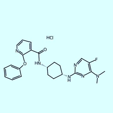 CN(C)c1nc(N[C@H]2CC[C@@H](NC(=O)c3cccnc3Oc3ccccc3)CC2)ncc1F.Cl